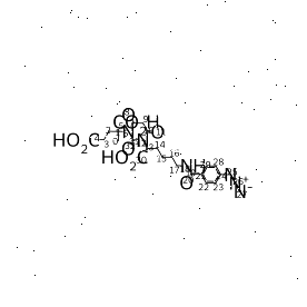 CC(CCC(=O)O)(C(=O)O)N1C(=O)CC(=O)N([C@@H](CCCCNC(=O)c2ccc(N=[N+]=[N-])cc2)C(=O)O)C1=O